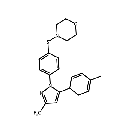 CC1=CCC(c2cc(C(F)(F)F)nn2-c2ccc(SN3CCOCC3)cc2)C=C1